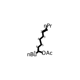 CCCC=CCCCCC(CCCC)OC(C)=O